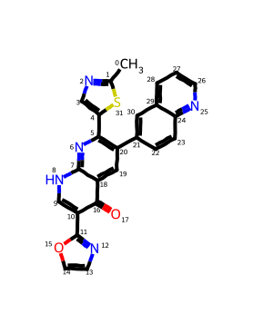 Cc1ncc(-c2nc3[nH]cc(-c4ncco4)c(=O)c3cc2-c2ccc3ncccc3c2)s1